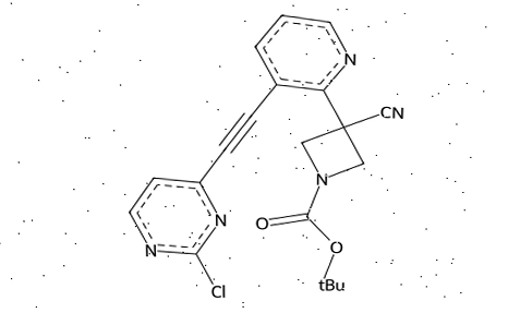 CC(C)(C)OC(=O)N1CC(C#N)(c2ncccc2C#Cc2ccnc(Cl)n2)C1